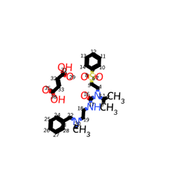 CC(C)N(CCS(=O)(=O)c1ccccc1)C(=O)NCCN(C)Cc1ccccc1.O=C(O)C=CC(=O)O